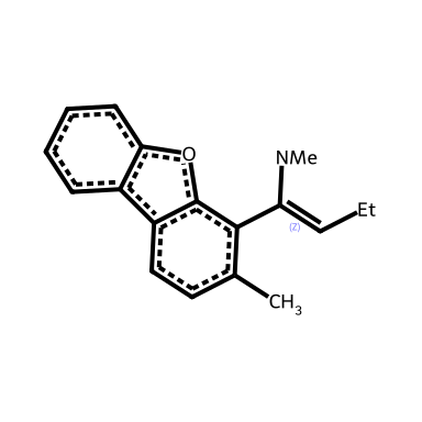 CC/C=C(\NC)c1c(C)ccc2c1oc1ccccc12